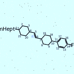 CCCCCCCC1CCC(/C=C/C2CCC(c3ccc(F)cc3)CC2)CC1